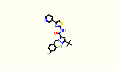 CC(C)(C)c1cc(C(=O)Nc2nc(-c3cccnc3)cs2)n(Cc2ccc(Cl)cc2Cl)n1